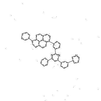 c1ccc(-c2cc(-c3cccc(-c4cccnc4)c3)nc(-c3cccc(-c4ccc5ccc6c(-c7ccccc7)ccc7ccc4c5c76)c3)n2)cc1